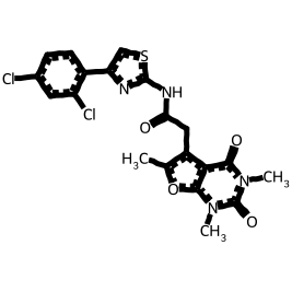 Cc1oc2c(c1CC(=O)Nc1nc(-c3ccc(Cl)cc3Cl)cs1)c(=O)n(C)c(=O)n2C